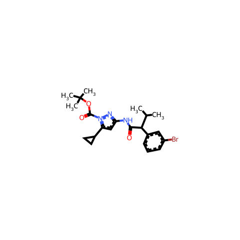 CC(C)C(C(=O)Nc1cc(C2CC2)n(C(=O)OC(C)(C)C)n1)c1cccc(Br)c1